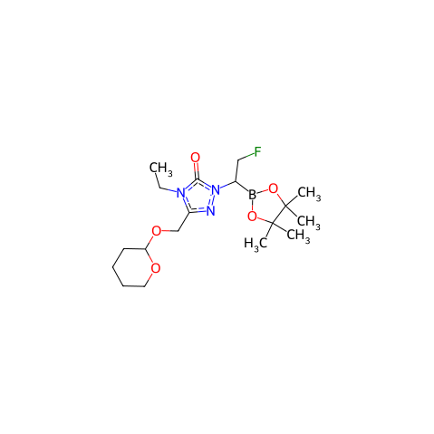 CCn1c(COC2CCCCO2)nn(C(CF)B2OC(C)(C)C(C)(C)O2)c1=O